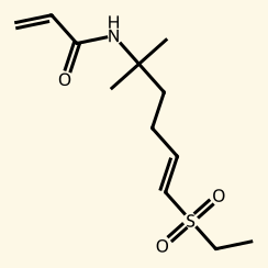 C=CC(=O)NC(C)(C)CC/C=C/S(=O)(=O)CC